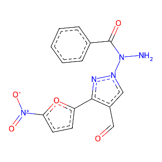 NN(C(=O)c1ccccc1)n1cc(C=O)c(-c2ccc([N+](=O)[O-])o2)n1